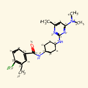 Cc1cc(N(C)C)nc(NC2CCC(NC(=O)c3ccc(Br)c(C)c3)CC2)n1